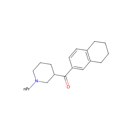 CCCN1CCCC(C(=O)c2ccc3c(c2)CCCC3)C1